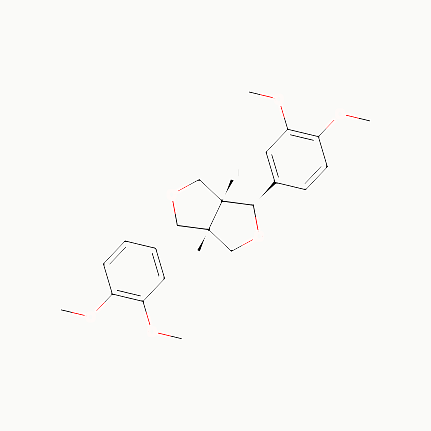 COc1ccc([C@H]2OC[C@H]3[C@@H]2CO[C@H]3c2ccc(OC)c(OC)c2)cc1OC